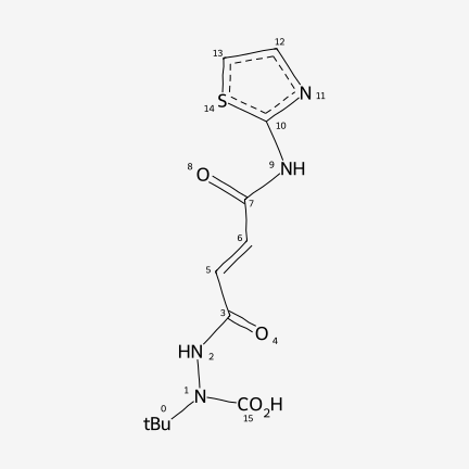 CC(C)(C)N(NC(=O)C=CC(=O)Nc1nccs1)C(=O)O